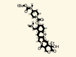 CC[C@@]1(O)C(=O)OCc2c1cc1n(c2=O)Cc2cc3c(CN(C)C)c(OC(=O)N4CCC(N(C)C(=O)OC(C)(C)C)CC4)ccc3nc2-1